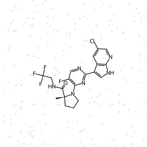 C[C@]1(C(=O)NCC(F)(F)F)CCCN1c1nc(-c2c[nH]c3ncc(Cl)cc23)ncc1F